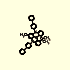 Cc1cc2c3c(c1)N(c1ccc(-c4ccccc4)cc1)c1cccc4c1B3c1c(cccc1[Si]4(C)C)N2c1ccc(-c2ccccc2)cc1